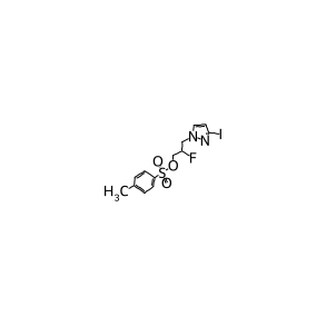 Cc1ccc(S(=O)(=O)OCC(F)Cn2ccc(I)n2)cc1